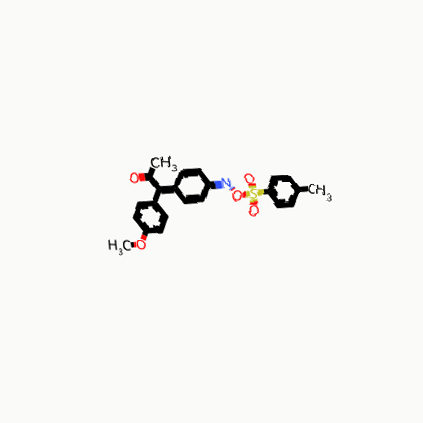 COc1ccc(C(C(C)=O)=C2C=CC(=NOS(=O)(=O)c3ccc(C)cc3)C=C2)cc1